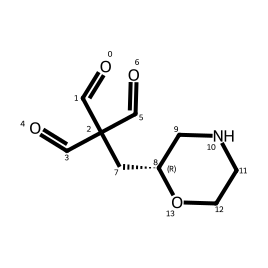 O=CC(C=O)(C=O)C[C@@H]1CNCCO1